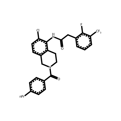 CCCc1ccc(C(=O)N2CCc3c(ccc(Cl)c3NC(=O)Cc3cccc(C(F)(F)F)c3F)C2)cc1